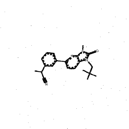 CC(C#N)c1cccc(-c2ccc3c(n2)n(C)c(=O)n3CC(C)(C)C)c1